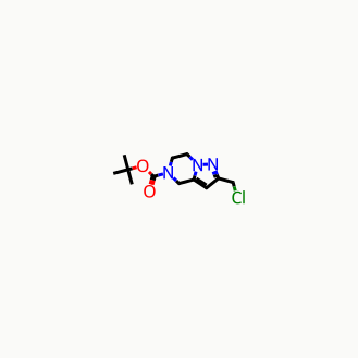 CC(C)(C)OC(=O)N1CCn2nc(CCl)cc2C1